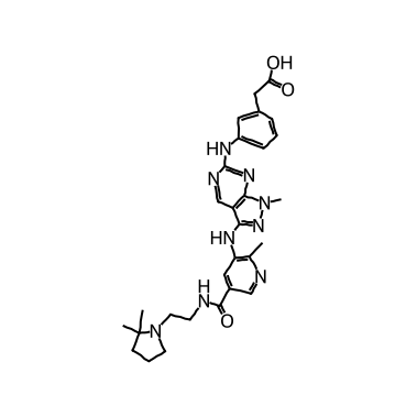 Cc1ncc(C(=O)NCCN2CCCC2(C)C)cc1Nc1nn(C)c2nc(Nc3cccc(CC(=O)O)c3)ncc12